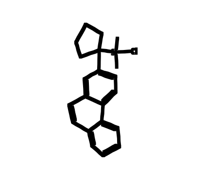 C[Si](C)(Cl)C1(c2ccc3c(ccc4ccccc43)c2)CCCC1